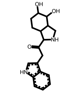 O=C(Cc1c[nH]c2ccccc12)C1NCC2C(O)C(O)CCC12